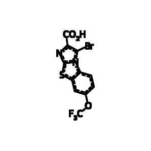 O=C(O)c1nc2sc3cc(OC(F)(F)F)ccc3n2c1Br